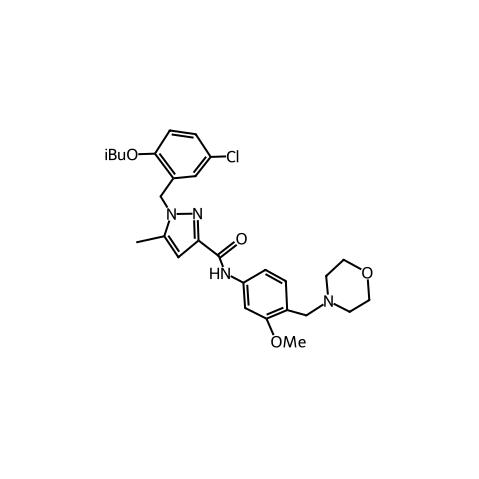 COc1cc(NC(=O)c2cc(C)n(Cc3cc(Cl)ccc3OCC(C)C)n2)ccc1CN1CCOCC1